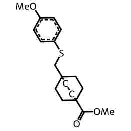 COC(=O)C12CCC(CSc3ccc(OC)cc3)(CC1)CC2